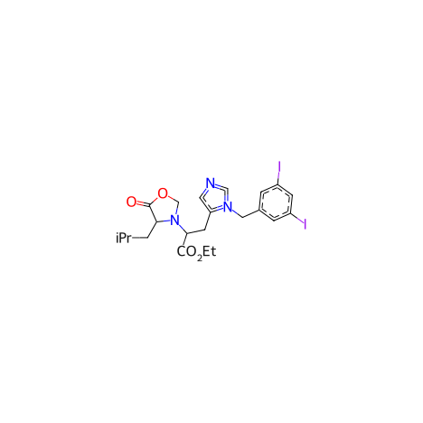 CCOC(=O)C(Cc1cncn1Cc1cc(I)cc(I)c1)N1COC(=O)C1CC(C)C